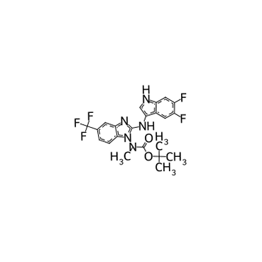 CN(C(=O)OC(C)(C)C)n1c(Nc2c[nH]c3cc(F)c(F)cc23)nc2cc(C(F)(F)F)ccc21